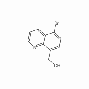 OCc1ccc(Br)c2cccnc12